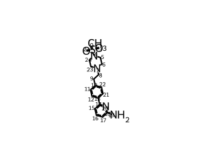 CS(=O)(=O)N1CCN(CCc2ccc(-c3cccc(N)n3)cc2)CC1